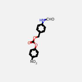 O=CNc1ccc(COC(=O)Oc2ccc([N+](=O)[O-])cc2)cc1